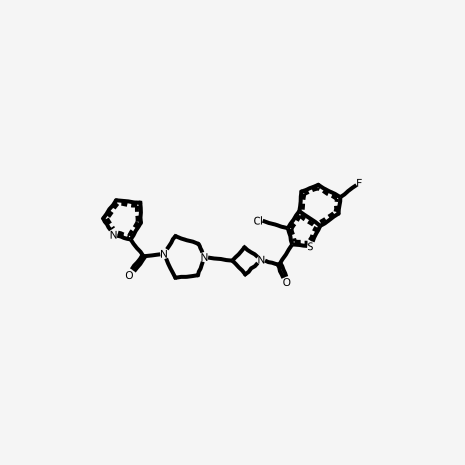 O=C(c1ccccn1)N1CCN(C2CN(C(=O)c3sc4cc(F)ccc4c3Cl)C2)CC1